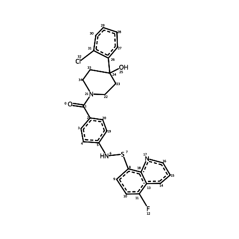 O=C(c1ccc(NSc2ccc(F)c3cccnc23)cc1)N1CCC(O)(c2ccccc2Cl)CC1